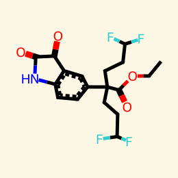 CCOC(=O)C(CCC(F)F)(CCC(F)F)c1ccc2c(c1)C(=O)C(=O)N2